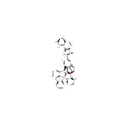 c1ccc(C2(c3ccccc3-c3ccc4cc(-c5nc6ccc7ccccc7c6o5)ccc4c3)c3ccccc3-c3ccccc32)cc1